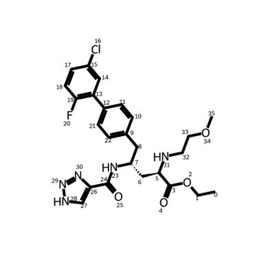 CCOC(=O)[C@@H](C[C@@H](Cc1ccc(-c2cc(Cl)ccc2F)cc1)NC(=O)c1c[nH]nn1)NCCOC